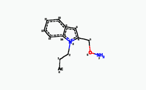 CC(=O)CCn1c(CON)cc2ccccc21